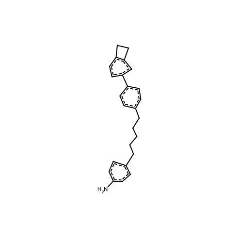 Nc1ccc(CCCCCc2ccc(-c3ccc4c(c3)CC4)cc2)cc1